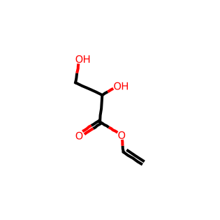 C=COC(=O)C(O)CO